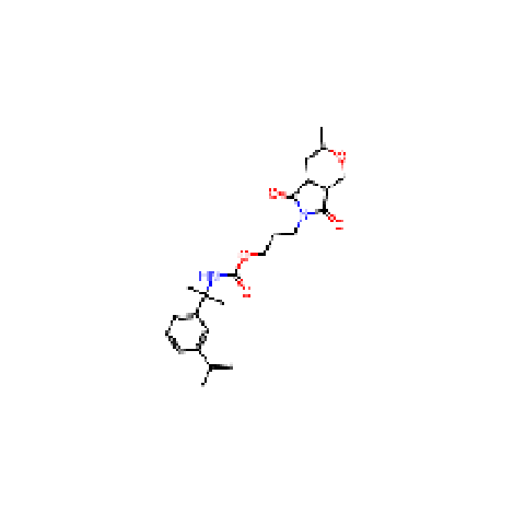 C=C(C)c1cccc(C(C)(C)NC(=O)OCCCN2C(=O)C3COC(C)CC3C2=O)c1